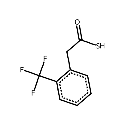 O=C(S)Cc1ccccc1C(F)(F)F